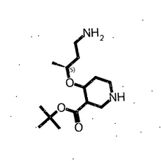 C[C@@H](CCN)OC1CCNCC1C(=O)OC(C)(C)C